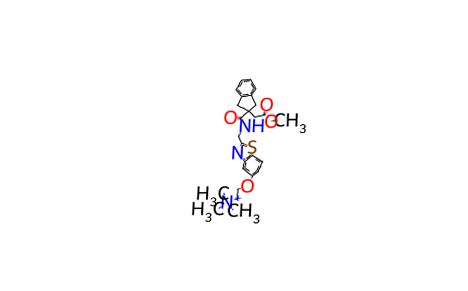 COC(=O)CC1(C(=O)NCc2nc3cc(OCC[N+](C)(C)C)ccc3s2)Cc2ccccc2C1